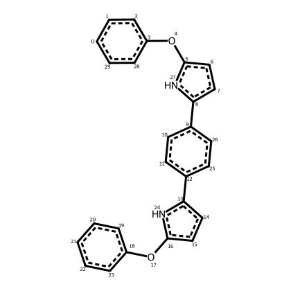 c1ccc(Oc2ccc(-c3ccc(-c4ccc(Oc5ccccc5)[nH]4)cc3)[nH]2)cc1